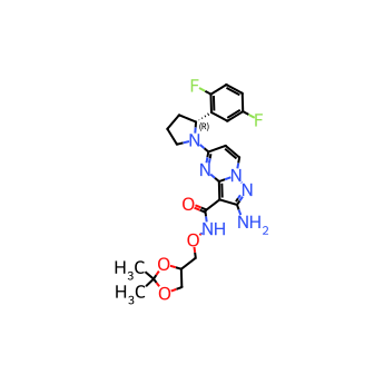 CC1(C)OCC(CONC(=O)c2c(N)nn3ccc(N4CCC[C@@H]4c4cc(F)ccc4F)nc23)O1